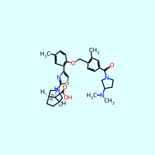 Cc1ccc(OCc2ccc(C(=O)N3CCC(N(C)C)C3)cc2C)c(-c2csc(N3C[C@H]4CC[C@@H](C3)[C@H]4C(=O)O)n2)c1